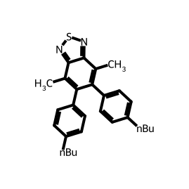 CCCCc1ccc(-c2c(-c3ccc(CCCC)cc3)c(C)c3nsnc3c2C)cc1